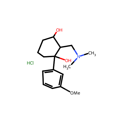 COc1cccc(C2(O)CCCC(O)C2CN(C)C)c1.Cl